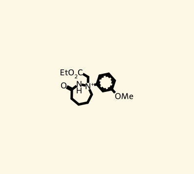 CCOC(=O)C[N+]1(c2cccc(OC)c2)CCCCC(=O)N1